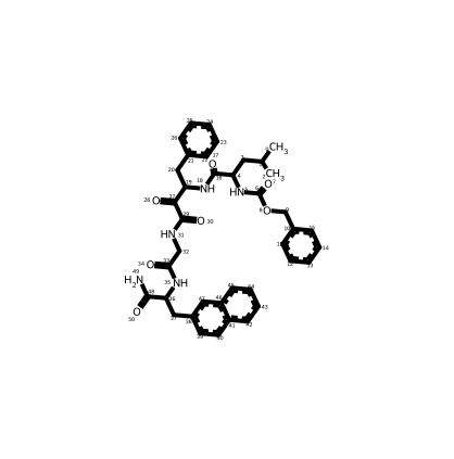 CC(C)CC(NC(=O)OCc1ccccc1)C(=O)NC(Cc1ccccc1)C(=O)C(=O)NCC(=O)NC(Cc1ccc2ccccc2c1)C(N)=O